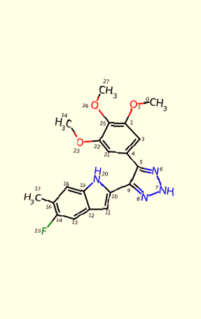 COc1cc(-c2n[nH]nc2-c2cc3cc(F)c(C)cc3[nH]2)cc(OC)c1OC